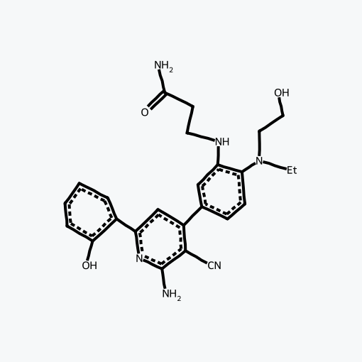 CCN(CCO)c1ccc(-c2cc(-c3ccccc3O)nc(N)c2C#N)cc1NCCC(N)=O